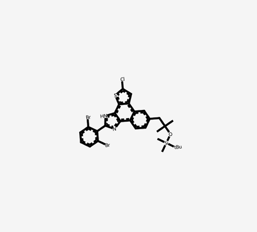 CC(C)(Cc1ccc2c(c1)c1cc(Cl)sc1c1[nH]c(-c3c(Br)cccc3Br)nc21)O[Si](C)(C)C(C)(C)C